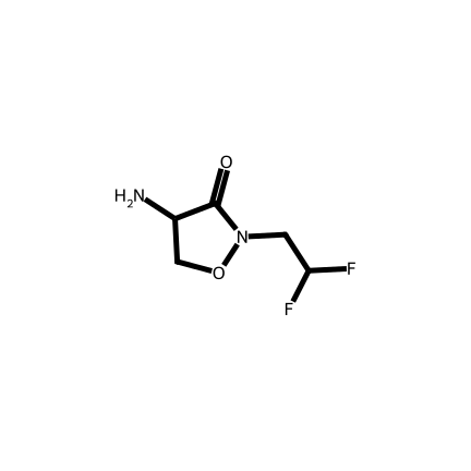 NC1CON(CC(F)F)C1=O